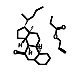 C=CCOC(=O)CC.CCCC(C)[C@H]1CC[C@H]2[C@@H]3C(=O)CC4CCCC[C@]4(C)[C@H]3CC[C@]12C